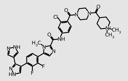 Cn1c(-c2ccc(-c3c[nH]nc3-c3cn[nH]c3)c(F)c2F)cnc1C(=O)Nc1ccc(C(=O)N2CCN(C(=O)C3CC[N+](C)(C)CC3)CC2)c(Cl)c1